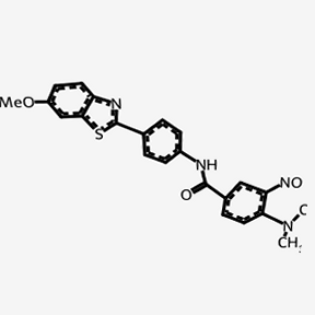 COc1ccc2nc(-c3ccc(NC(=O)c4ccc(N(C)C)c(N=O)c4)cc3)sc2c1